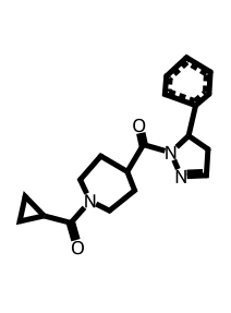 O=C(C1CC1)N1CCC(C(=O)N2N=CCC2c2ccccc2)CC1